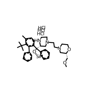 COC[C@@H]1CN(CCN2CCN[C@@H](C(O[SiH3])(c3ccccc3)c3ccc(C)c(C(C)(C)C)c3-c3ccccc3)C2)CCO1.Cl.Cl.Cl